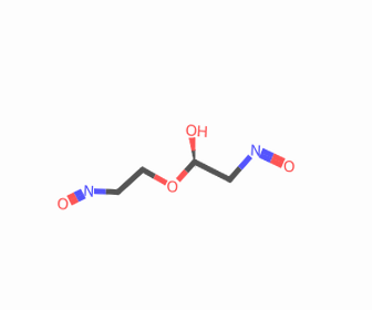 O=NCCO[C@@H](O)CN=O